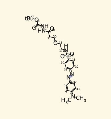 CN(C)c1ccc(/N=N/c2ccc(S(=O)(=O)NCCOCCC(=O)NNC(=O)OC(C)(C)C)cc2)cc1